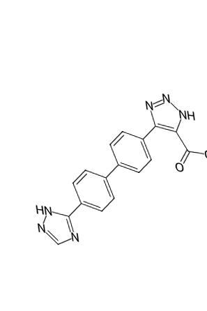 O=C(O)c1[nH]nnc1-c1ccc(-c2ccc(-c3ncn[nH]3)cc2)cc1